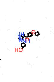 O=C(c1ccc(Oc2ccccc2)cc1)c1c[nH]c2ncnc(N[C@H]3CC[C@H](CO)CC3)c12